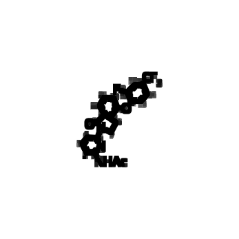 CC(=O)Nc1cccc(N2CCc3c(Oc4ccc(C(F)(F)F)cc4F)cccc3C2=O)n1